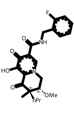 CCC[C@@]1(C)C(=O)c2c(O)c(=O)c(C(=O)NCc3ccccc3F)cn2C[C@@H]1OC